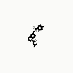 CC(C)CC(=O)N1CCCc2cc(CNC(=O)c3ccc(I)cc3)ccc21